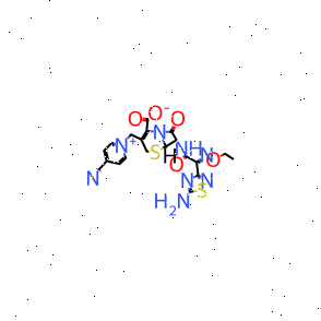 CCON=C(C(=O)NC1C(=O)N2C(C(=O)[O-])=C(C[n+]3ccc(C#N)cc3)CS[C@@H]12)c1nsc(N)n1